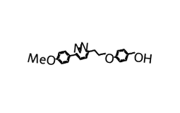 COc1ccc(-c2ccc(CCCOc3ccc(CO)cc3)nn2)cc1